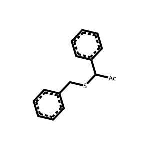 CC(=O)C(SCc1ccccc1)c1ccccc1